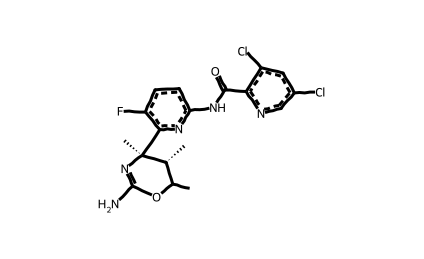 CC1OC(N)=N[C@@](C)(c2nc(NC(=O)c3ncc(Cl)cc3Cl)ccc2F)[C@@H]1C